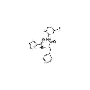 Cc1ccc(F)cc1NC(=O)C(Cc1ccccc1)NC(=O)c1cccs1